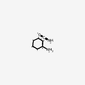 N=C=O.NC1CCCCC1